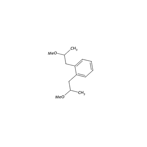 COC(C)Cc1ccccc1CC(C)OC